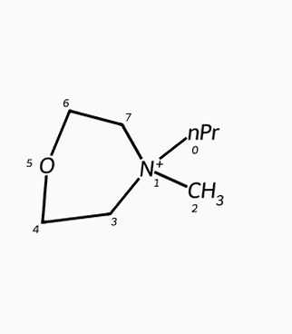 CCC[N+]1(C)CCOCC1